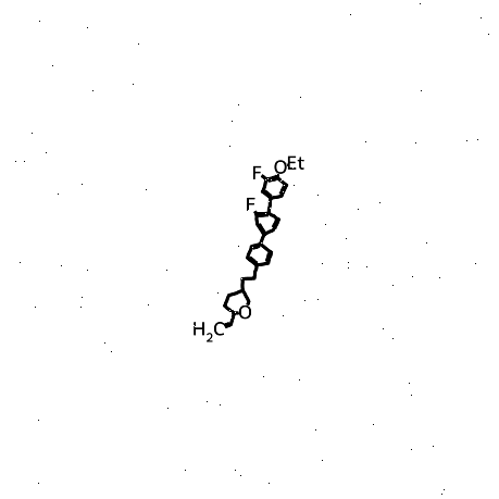 C=CC1CCC(CCc2ccc(-c3ccc(-c4ccc(OCC)c(F)c4)c(F)c3)cc2)CO1